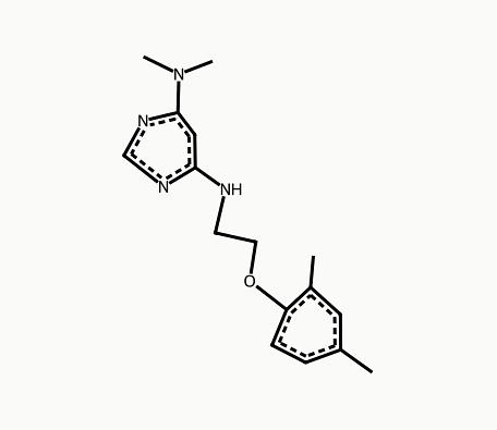 Cc1ccc(OCCNc2cc(N(C)C)ncn2)c(C)c1